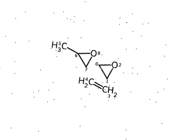 C1CO1.C=C.CC1CO1